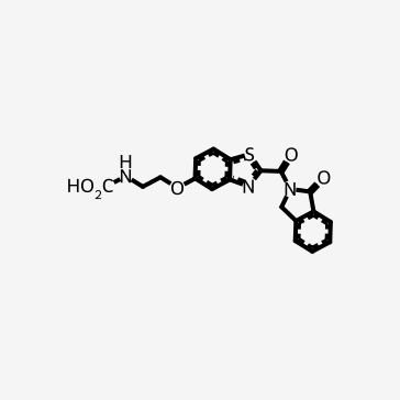 O=C(O)NCCOc1ccc2sc(C(=O)N3Cc4ccccc4C3=O)nc2c1